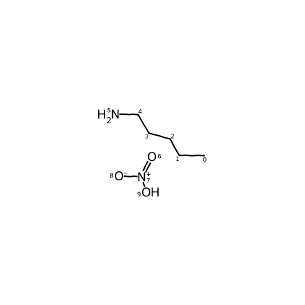 CCCCCN.O=[N+]([O-])O